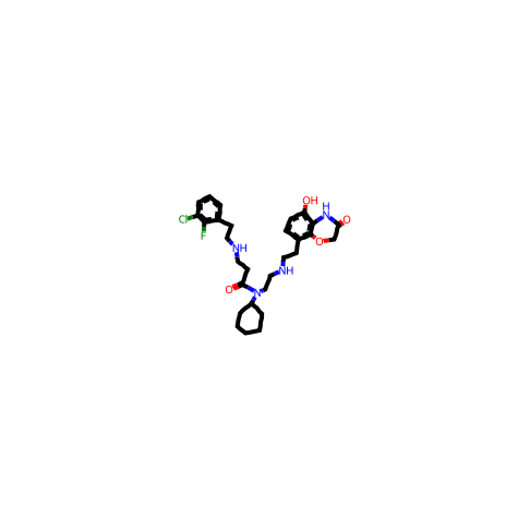 O=C1COc2c(CCNCCN(C(=O)CCNCCc3cccc(Cl)c3F)C3CCCCC3)ccc(O)c2N1